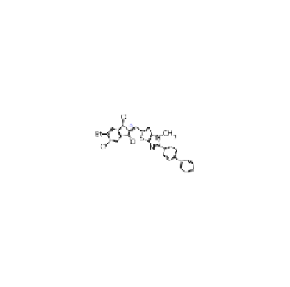 CCc1cc2c(cc1Cl)C(=O)/C(=C\c1cc3c(nc(-c4ccc(-c5ccccc5)cc4)n3C)s1)C2=O